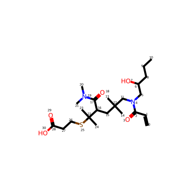 C=CC(=O)N(CC(O)CCC)CC(C)(C)CC(C(=O)N(C)C)C(C)(C)SCCC(=O)O